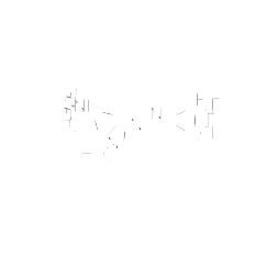 Cn1cc(N2CCN(Cc3ccc(Cl)c(C(F)(F)F)c3)CC2)c2ccc(C(=O)NS(=O)(=O)C3CC3)cc21